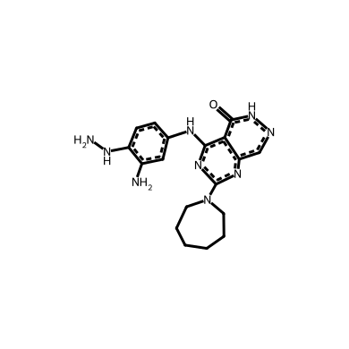 NNc1ccc(Nc2nc(N3CCCCCC3)nc3cn[nH]c(=O)c23)cc1N